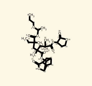 CCCOC(C)OC(=O)C(C)(CC)CC(C)(CC(C)(C)C(=O)OC1CCOC1=O)C(=O)OC1C2CC3C(=O)OC1C3C2